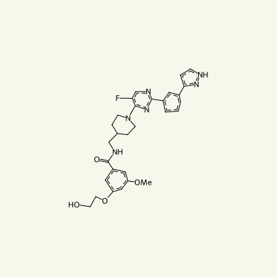 COc1cc(OCCO)cc(C(=O)NCC2CCN(c3nc(-c4cccc(-c5cc[nH]n5)c4)ncc3F)CC2)c1